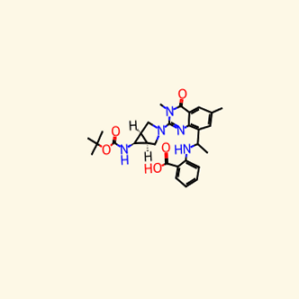 Cc1cc(C(C)Nc2ccccc2C(=O)O)c2nc(N3C[C@@H]4[C@H](C3)[C@@H]4NC(=O)OC(C)(C)C)n(C)c(=O)c2c1